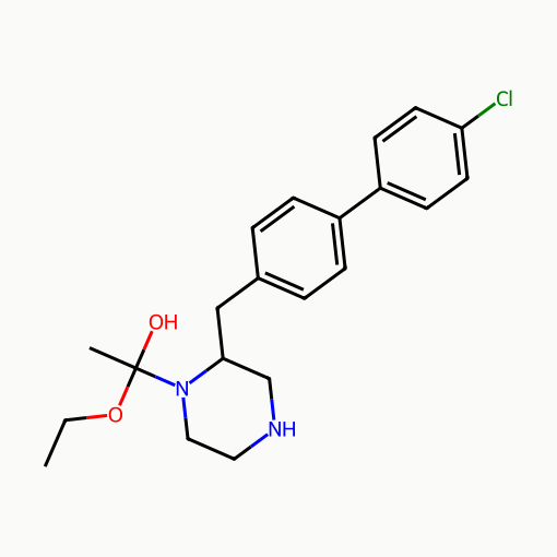 CCOC(C)(O)N1CCNCC1Cc1ccc(-c2ccc(Cl)cc2)cc1